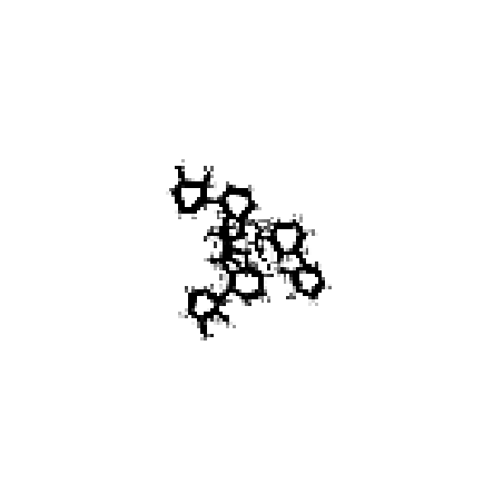 Cc1cccc(-c2cccc3c2C=C(C(C)C)[CH]3[Hf]([Cl])([Cl])([c]2cccc3c2[SiH2]c2ccccc2-3)[CH]2C(C(C)C)=Cc3c(-c4cccc(C)c4C)cccc32)c1C